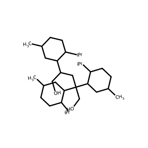 CC1CCC(C(C)C)C(C(CO)CC(CO)(C2CC(C)CCC2C(C)C)C2CC(C)CCC2C(C)C)C1